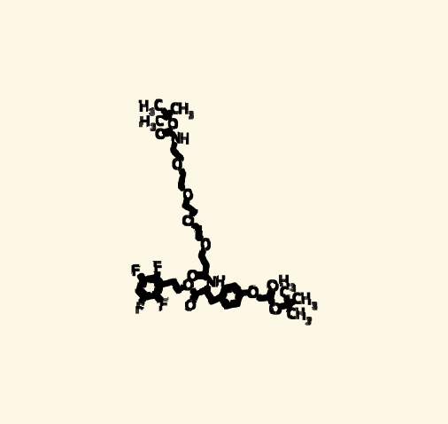 CC(C)(C)OC(=O)COc1ccc(CC(NC(=O)CCOCCOCCOCCOCCNC(=O)OC(C)(C)C)C(=O)OCCc2c(F)c(F)cc(F)c2F)cc1